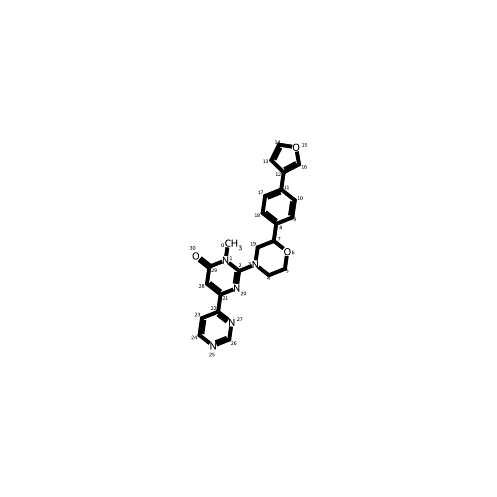 Cn1c(N2CCOC(c3ccc(-c4ccoc4)cc3)C2)nc(-c2ccncn2)cc1=O